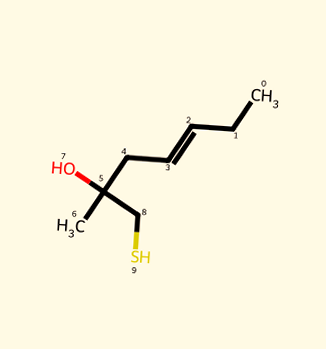 CCC=CCC(C)(O)CS